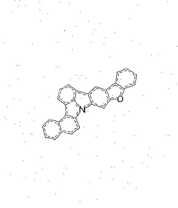 c1ccc2c(c1)ccc1c2c2cccc3c4cc5c(cc4n1c32)oc1ccccc15